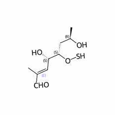 C/C(C=O)=C\[C@H](O)[C@H](C[C@@H](C)O)OS